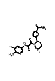 CCc1cc(NC(=O)C(=O)N2C[C@@H](C)CCC2c2ccc(C(N)=O)s2)cnc1N